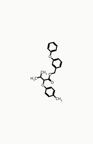 Cc1ccc(OC(C(=O)OCc2cccc(Oc3ccccc3)c2)C(C)C)cc1